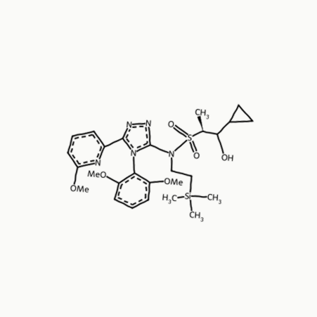 COc1cccc(-c2nnc(N(CC[Si](C)(C)C)S(=O)(=O)[C@@H](C)C(O)C3CC3)n2-c2c(OC)cccc2OC)n1